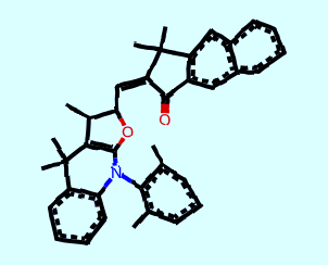 Cc1cccc(C)c1N1C2=C(C(C)C(/C=C3\C(=O)c4cc5ccccc5cc4C3(C)C)O2)C(C)(C)c2ccccc21